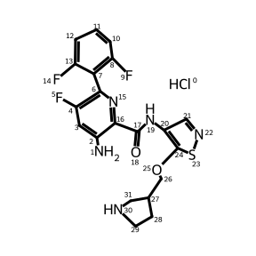 Cl.Nc1cc(F)c(-c2c(F)cccc2F)nc1C(=O)Nc1cnsc1OCC1CCNC1